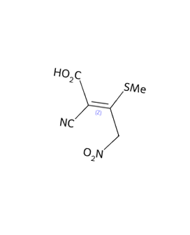 CS/C(C[N+](=O)[O-])=C(/C#N)C(=O)O